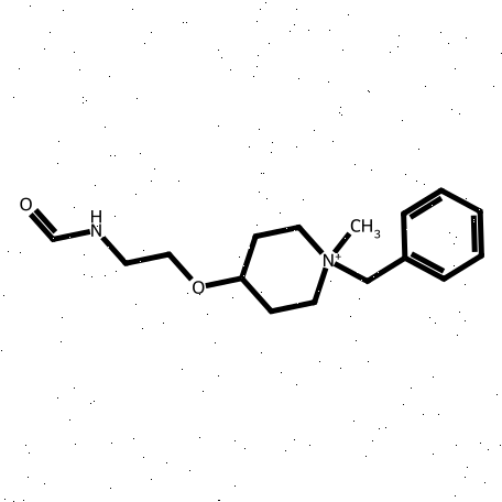 C[N+]1(Cc2ccccc2)CCC(OCCNC=O)CC1